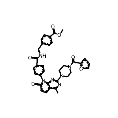 COC(=O)c1ccc(CNC(=O)c2ccc(-n3c(=O)ccc4c(C)nc(N5CCN(C(=O)c6ccco6)CC5)nc43)cc2)cc1